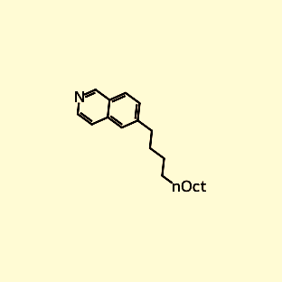 CCCCCCCCCCCCc1ccc2cnccc2c1